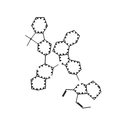 C=Cc1c(/C=C\C)c2ccccc2n1-c1ccc2c3c4ccccc4ccc3n(-c3nc4ccccc4nc3-c3ccc4c(c3)C(C)(C)c3ccccc3-4)c2c1